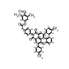 Cc1cc(OC(=O)Cc2ccc(-n3c(=O)c4cc(-c5ccc(C(F)(F)F)cc5)c5oc6ccccc6c6c(-c7ccc(C(F)(F)F)cc7)cc(c3=O)c4c56)cc2)cc(C)c1C=O